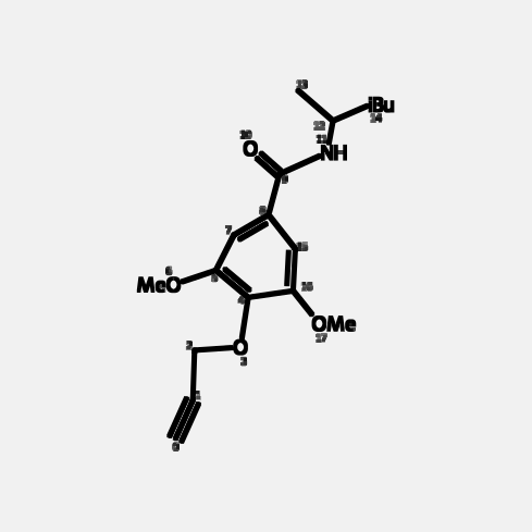 C#CCOc1c(OC)cc(C(=O)NC(C)C(C)CC)cc1OC